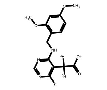 [2H]C([2H])(C(=O)O)c1c(Cl)ncnc1NCc1ccc(OC)cc1OC